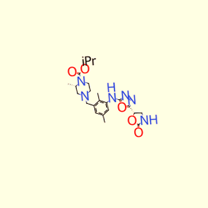 Cc1cc(CN2CCN(C(=O)OC(C)C)[C@@H](C)C2)c(C)c(Nc2nnc([C@@H]3CNC(=O)O3)o2)c1